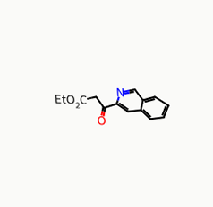 CCOC(=O)CC(=O)c1cc2ccccc2cn1